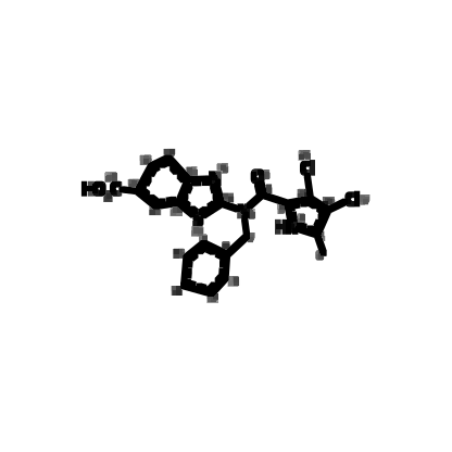 Cc1[nH]c(C(=O)N(Cc2ccccc2)c2nc3ccc(C(=O)O)cc3s2)c(Cl)c1Cl